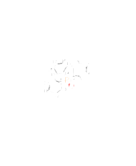 O=P(C1=CC=CCC1)(c1ccccc1)c1ccccc1